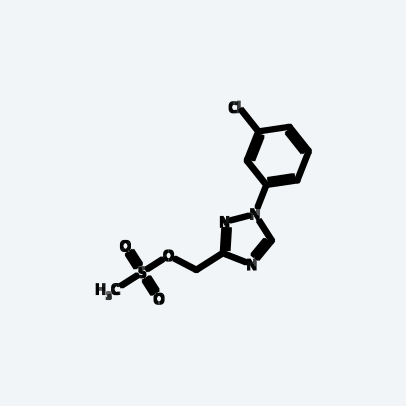 CS(=O)(=O)OCc1ncn(-c2cccc(Cl)c2)n1